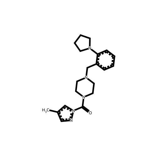 Cc1cnn(C(=O)N2CCN(Cc3ccccc3N3CCCC3)CC2)c1